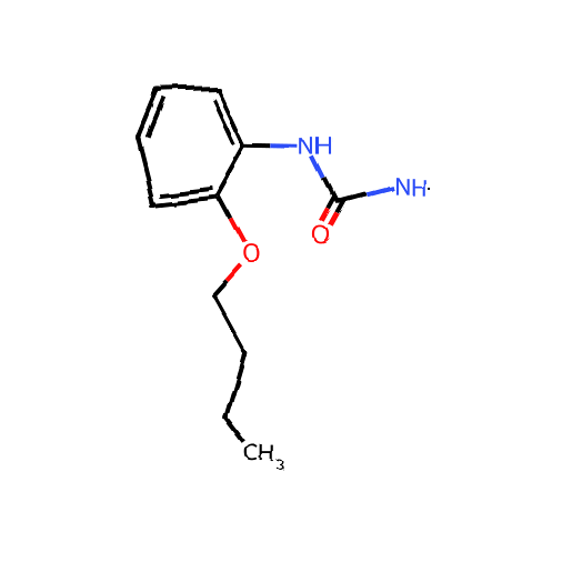 CCCCOc1ccccc1NC([NH])=O